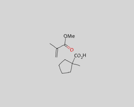 C=C(C)C(=O)OC.CC1(C(=O)O)CCCC1